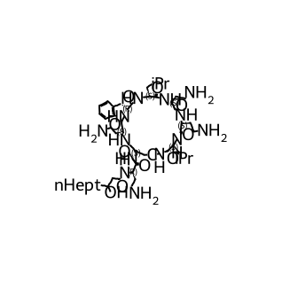 CCCCCCCC(O)CC(=O)N[C@H](CCN)C(=O)N[C@H]1CCNC(=O)[C@H](CC(C)C)NC(=O)[C@H](CCN)NC(=O)[C@H](CCN)NC(=O)[C@H](CC(C)C)NC(=O)[C@@H](Cc2ccccc2)NC(=O)[C@H](CCN)NC1=O